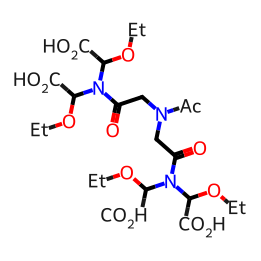 [CH2]C(=O)N(CC(=O)N(C(OCC)C(=O)O)C(OCC)C(=O)O)CC(=O)N(C(OCC)C(=O)O)C(OCC)C(=O)O